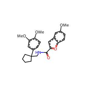 COc1ccc2oc(C(=O)NCC3(c4ccc(OC)c(OC)c4)CCCC3)cc2c1